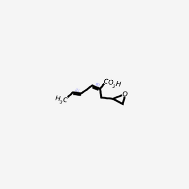 C/C=C/C=C(\CC1CO1)C(=O)O